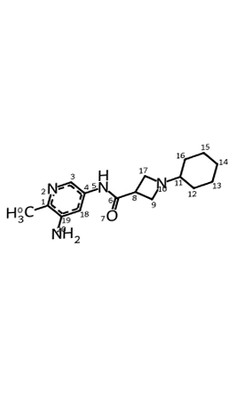 Cc1ncc(NC(=O)C2CN(C3CCCCC3)C2)cc1N